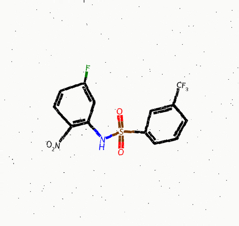 O=[N+]([O-])c1ccc(F)cc1NS(=O)(=O)c1cccc(C(F)(F)F)c1